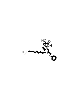 CCCCCCCCCCOC(CSC1CCCCC1)Cn1ccnc1.O=C(O)C(=O)O